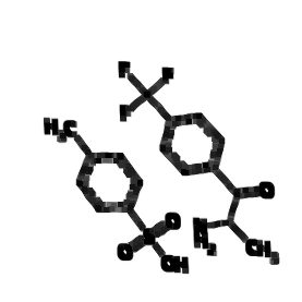 CC(N)C(=O)c1ccc(C(F)(F)F)cc1.Cc1ccc(S(=O)(=O)O)cc1